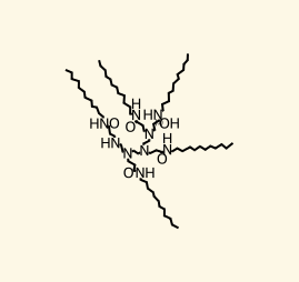 CCCCCCCCCCCCNC(=O)CCNCCN(CCC(=O)NCCCCCCCCCCCC)CCN(CCC(=O)NCCCCCCCCCCCC)CCN(CCC(=O)NCCCCCCCCCCCC)CC[C@H](O)NCCCCCCCCCCCC